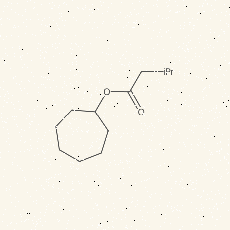 CC(C)CC(=O)OC1CCCCCC1